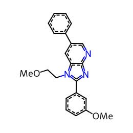 COCCn1c(-c2cccc(OC)c2)nc2ncc(-c3ccccc3)cc21